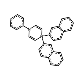 C1=C[N+](c2ccc3ccccc3c2)(c2ccc3ccccc3c2)C=CN1c1ccccc1